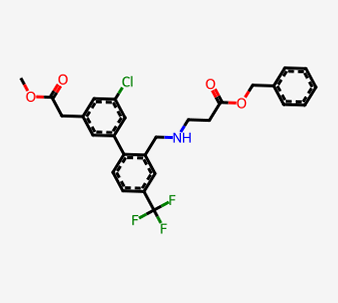 COC(=O)Cc1cc(Cl)cc(-c2ccc(C(F)(F)F)cc2CNCCC(=O)OCc2ccccc2)c1